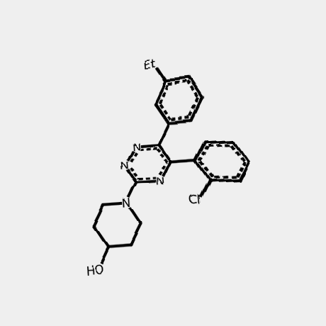 CCc1cccc(-c2nnc(N3CCC(O)CC3)nc2-c2ccccc2Cl)c1